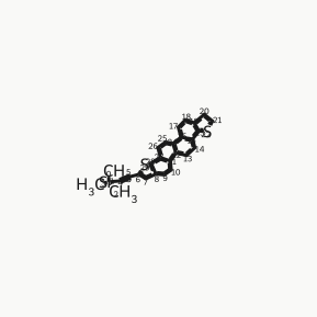 C[Si](C)(C)C#Cc1cc2ccc3c4ccc5c(ccc6ccsc65)c4ccc3c2s1